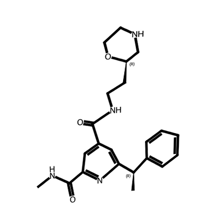 CNC(=O)c1cc(C(=O)NCC[C@@H]2CNCCO2)cc([C@H](C)c2ccccc2)n1